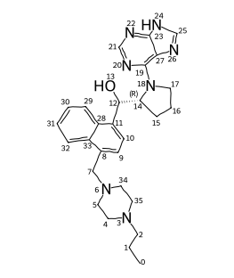 CCCN1CCN(Cc2ccc(C(O)[C@H]3CCCN3c3ncnc4[nH]cnc34)c3ccccc23)CC1